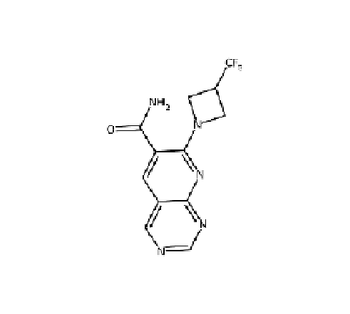 NC(=O)c1cc2cncnc2nc1N1CC(C(F)(F)F)C1